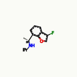 CC(C)N[C@H](C)c1cccc2c(F)coc12